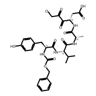 CC(C)[C@H](NC(=O)[C@H](Cc1ccc(O)cc1)NC(=O)OCc1ccccc1)C(=O)N[C@@H](C)C(=O)N[C@@H](CC(=O)O)C(=O)C(=O)CCl